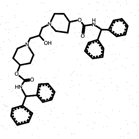 O=C(NC(c1ccccc1)c1ccccc1)OC1CCN(CC(O)CN2CCC(OC(=O)NC(c3ccccc3)c3ccccc3)CC2)CC1